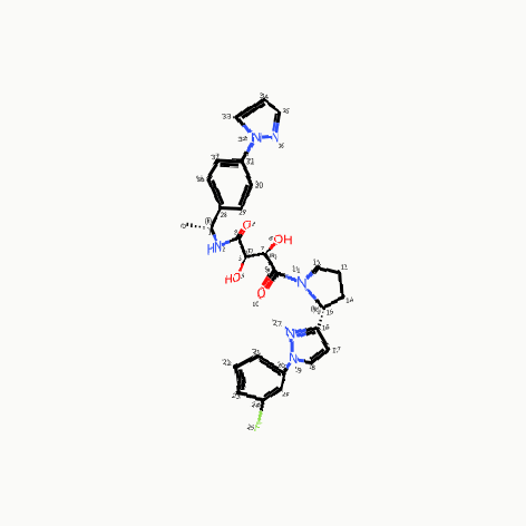 C[C@@H](NC(=O)[C@H](O)[C@@H](O)C(=O)N1CCC[C@@H]1c1ccn(-c2cccc(F)c2)n1)c1ccc(-n2cccn2)cc1